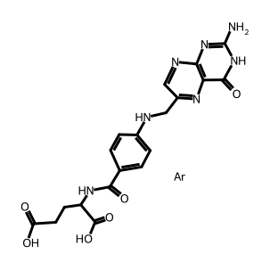 Nc1nc2ncc(CNc3ccc(C(=O)NC(CCC(=O)O)C(=O)O)cc3)nc2c(=O)[nH]1.[Ar]